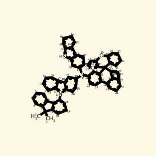 CC1(C)c2ccccc2-c2c(-n3c4ccccc4c4cc(N(c5ccc6c(c5)C5(c7ccccc7Oc7ccccc75)c5cccc7cccc-6c57)c5ccc6c(c5)sc5ccccc56)ccc43)cccc21